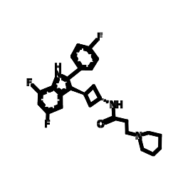 O=C(CCN1CCCCC1)N[C@H]1C[C@H](c2c(-c3ccc(F)cc3)[nH]c3c(F)cc(F)cc32)C1